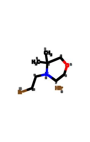 Br.CC1(C)COCCN1CCBr